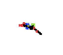 CCCCCOCCOc1ccc(-c2nnc(/C(N)=C/C(=O)O)s2)cc1C(F)(F)F